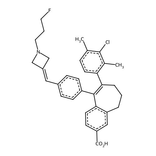 Cc1ccc(C2=C(c3ccc(C=C4CN(CCCF)C4)cc3)c3ccc(C(=O)O)cc3CCC2)c(C)c1Cl